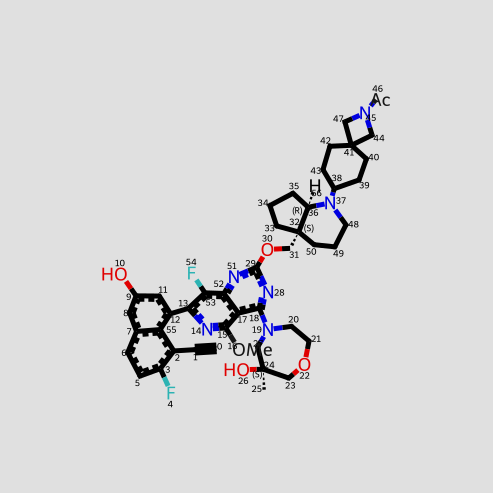 C#Cc1c(F)ccc2cc(O)cc(-c3nc(OC)c4c(N5CCOC[C@@](C)(O)C5)nc(OC[C@]56CCC[C@H]5N(C5CCC7(CC5)CN(C(C)=O)C7)CCC6)nc4c3F)c12